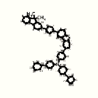 CC1(C)c2ccccc2-c2ccc(-c3ccc(-c4ccc5sc6ccc(-c7ccc(N(c8ccc(-c9ccccc9)cc8)c8ccc(-c9ccccc9)cc8)cc7)cc6c5c4)cc3)cc21